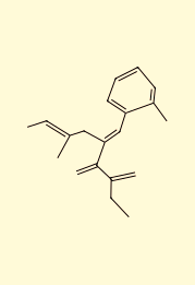 C=C(CC)C(=C)/C(=C/c1ccccc1C)C/C(C)=C/C